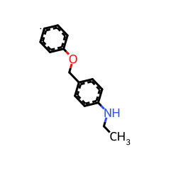 CCNc1ccc(COc2cc[c]cc2)cc1